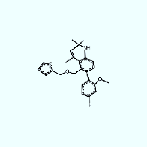 COc1cc(F)ccc1-c1ccc2c(c1COCc1cccs1)C(C)=CC(C)(C)N2